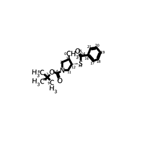 C[C@@H]1CN(C(=O)OC(C)(C)C)C[C@H]1SC(=O)c1ccccc1